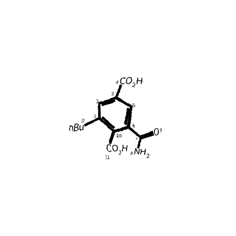 CCCCc1cc(C(=O)O)cc(C(N)=O)c1C(=O)O